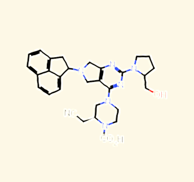 N#CC[C@H]1CN(c2nc(N3CCCC3CO)nc3c2CN(C2Cc4cccc5cccc2c45)C3)CCN1C(=O)O